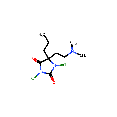 CCCC1(CCN(C)C)C(=O)N(Cl)C(=O)N1Cl